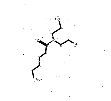 CCCCCCCCCC[CH]C(=O)N(CCO)CCO